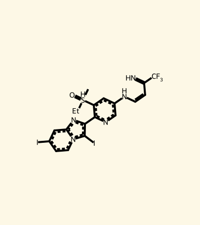 CC[SH](C)(=O)c1cc(N/C=C\C(=N)C(F)(F)F)cnc1-c1nc2cc(I)ccn2c1I